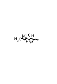 Cc1cc(C2CC(CF)CN2)on1.Cl